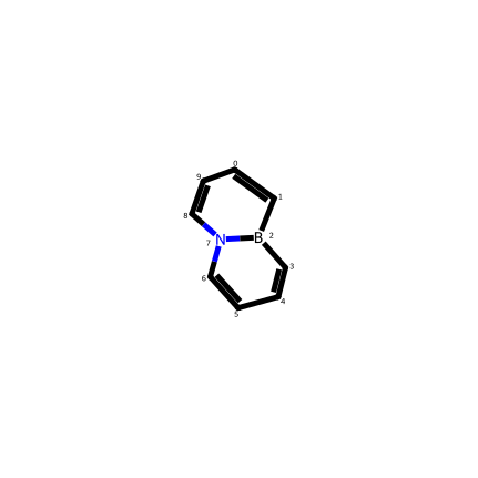 C1=CB2C=CC=CN2C=C1